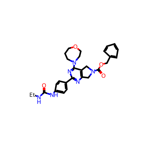 CCNC(=O)Nc1ccc(-c2nc3c(c(N4CCCOCC4)n2)CN(C(=O)OCc2ccccc2)C3)cc1